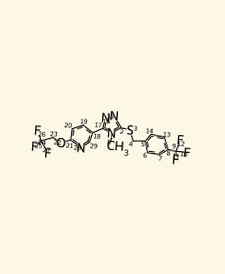 Cn1c(SCc2ccc(C(F)(F)F)cc2)nnc1-c1ccc(OCC(F)(F)F)nc1